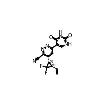 C=C[C@@H]1[C@@H](c2cc(-c3c[nH]c(=O)[nH]c3=O)nnc2C#N)C1(F)F